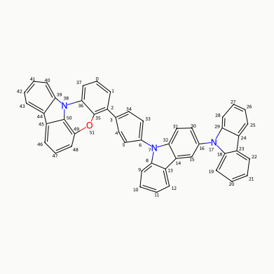 c1cc(-c2ccc(-n3c4ccccc4c4cc(-n5c6ccccc6c6ccccc65)ccc43)cc2)c2c(c1)-n1c3ccccc3c3cccc(c31)O2